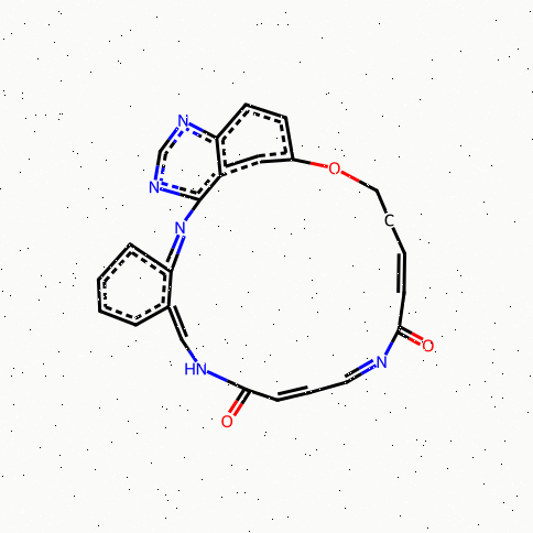 O=C1/C=C\CCOc2ccc3ncnc(c3c2)/N=c2/cccc/c2=C/NC(=O)/C=C\C=N/1